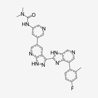 Cc1cc(F)ccc1-c1cncc2[nH]c(-c3n[nH]c4ncc(-c5cncc(NC(=O)N(C)C)c5)cc34)nc12